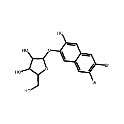 OCC1OC(Oc2cc3cc(Br)c(Br)cc3cc2O)C(O)C1O